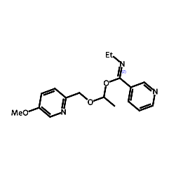 CC/N=C(\OC(C)OCc1ccc(OC)cn1)c1cccnc1